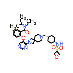 CCN(C(=O)c1cc(F)ccc1Oc1cncnc1N1CC2(CCN(C[C@H]3CC[C@@H](NS(=O)(=O)C4COC4)CC3)CC2)C1)C(C)C